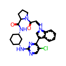 C=CC(=O)N1CCCC1C(=O)N[C@H]1CCC[C@@H](Nc2ncc(Cl)c(-c3c[nH]c4ccccc34)n2)C1